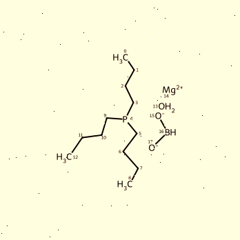 CCCCP(CCCC)CCCC.O.[Mg+2].[O-]B[O-]